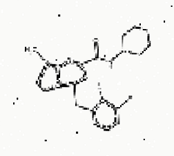 Cn1ccc2c(Cc3cccc(F)c3F)cc(C(=O)NC3CCCCC3)nc21